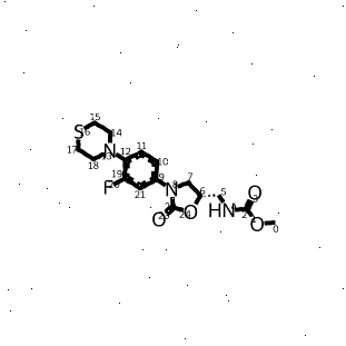 COC(=O)NC[C@H]1CN(c2ccc(N3CCSCC3)c(F)c2)C(=O)O1